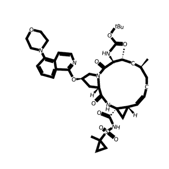 C[C@H]1CC/C=C\[C@@H]2C[C@@]2(C(=O)NS(=O)(=O)C2(C)CC2)NC(=O)[C@@H]2C[C@@H](Oc3nccc4c(N5CCOCC5)cccc34)CN2C(=O)[C@@H](NC(=O)OC(C)(C)C)[C@H](C)C1